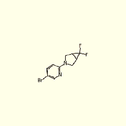 FC1(F)C2CN(c3ccc(Br)cn3)CC21